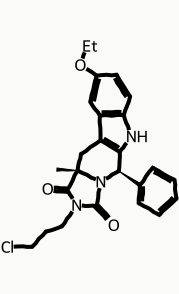 CCOc1ccc2[nH]c3c(c2c1)C[C@@]1(C)C(=O)N(CCCCl)C(=O)N1[C@@H]3c1ccccc1